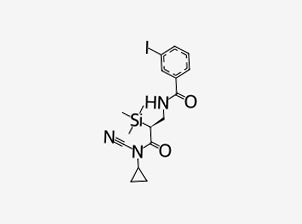 C[Si](C)(C)[C@@H](CNC(=O)c1cccc(I)c1)C(=O)N(C#N)C1CC1